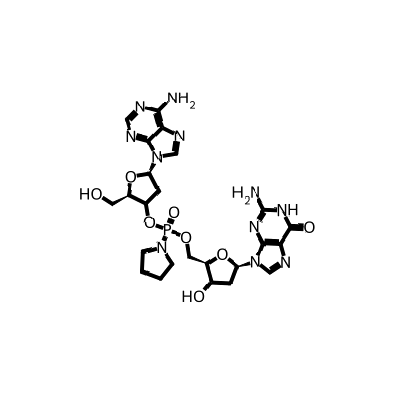 Nc1nc2c(ncn2[C@H]2CC(O)[C@@H](COP(=O)(OC3C[C@H](n4cnc5c(N)ncnc54)O[C@@H]3CO)N3CCCC3)O2)c(=O)[nH]1